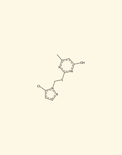 Cc1cc(O)nc(SCn2nccc2Cl)n1